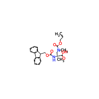 C=CCOC(=O)N(C)C[C@](C)(NC(=O)OCC1c2ccccc2-c2ccccc21)C(=O)O